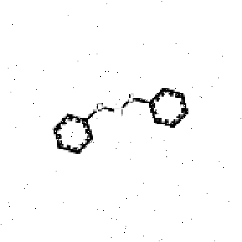 c1ccc([O][Ti][S]c2ccccc2)cc1